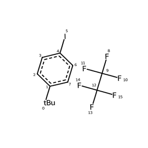 CC(C)(C)c1ccc(I)cc1.FC(F)(F)C(F)(F)F